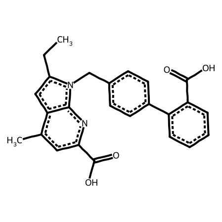 CCc1cc2c(C)cc(C(=O)O)nc2n1Cc1ccc(-c2ccccc2C(=O)O)cc1